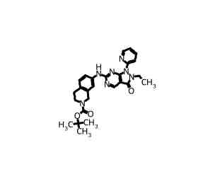 CCn1c(=O)c2cnc(Nc3ccc4c(c3)CN(C(=O)OC(C)(C)C)CC4)nc2n1-c1ccccn1